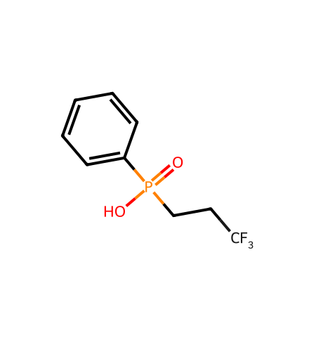 O=P(O)(CCC(F)(F)F)c1ccccc1